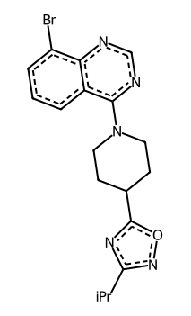 CC(C)c1noc(C2CCN(c3ncnc4c(Br)cccc34)CC2)n1